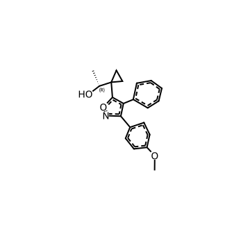 COc1ccc(-c2noc(C3([C@@H](C)O)CC3)c2-c2ccccc2)cc1